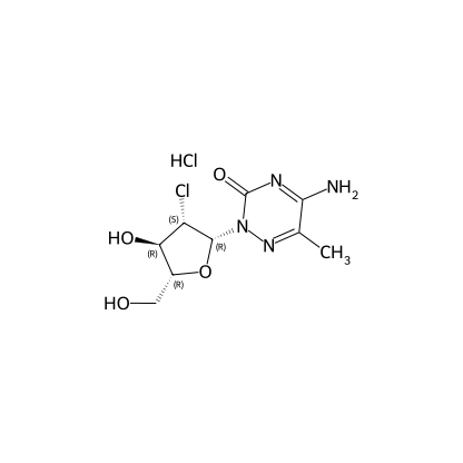 Cc1nn([C@@H]2O[C@H](CO)[C@@H](O)[C@@H]2Cl)c(=O)nc1N.Cl